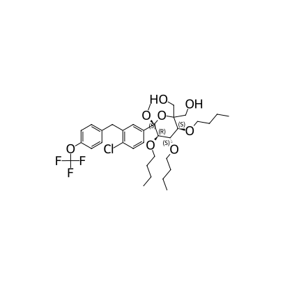 CCCCO[C@@H]1[C@@H](OCCCC)[C@](OC)(c2ccc(Cl)c(Cc3ccc(OC(F)(F)F)cc3)c2)OC(CO)(CO)[C@H]1OCCCC